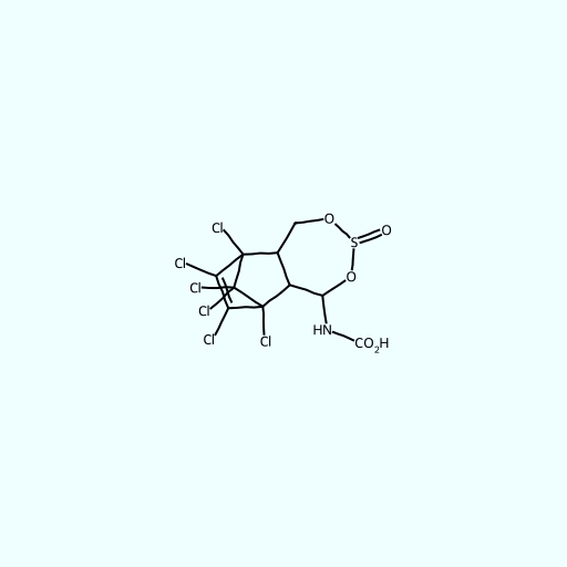 O=C(O)NC1OS(=O)OCC2C1C1(Cl)C(Cl)=C(Cl)C2(Cl)C1(Cl)Cl